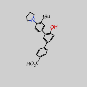 CC(C)(C)c1cc(-c2cc(-c3ccc(C(=O)O)cc3)ccc2O)ccc1N1CCCC1